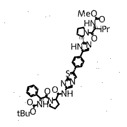 COC(=O)N[C@H](C(=O)N1CCC[C@H]1c1ncc(-c2ccc(-c3cn4cc(NC(=O)C5CCCN5C(=O)[C@@H](NC(=O)OC(C)(C)C)c5ccccc5)nc4s3)cc2)[nH]1)C(C)C